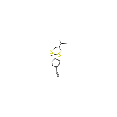 C#Cc1ccc(C2(C)SCC(C(C)C)CS2)cc1